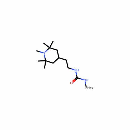 CCCCCCNC(=O)NCCC1CC(C)(C)N(C)C(C)(C)C1